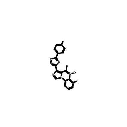 Cc1c2c(-c3noc(-c4ccc(F)cc4)n3)ncn2c2cccc(F)c2[n+]1[O-]